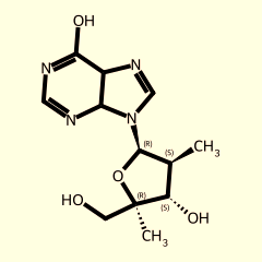 C[C@@H]1[C@H](N2C=NC3C(O)=NC=NC32)O[C@](C)(CO)[C@H]1O